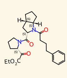 CCOC(=O)C(=O)[C@@H]1CCCN1C(=O)[C@@H]1C[C@@H]2CCC[C@@H]2N1C(=O)CCCc1ccccc1